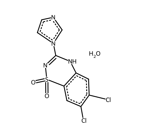 O.O=S1(=O)N=C(n2ccnc2)Nc2cc(Cl)c(Cl)cc21